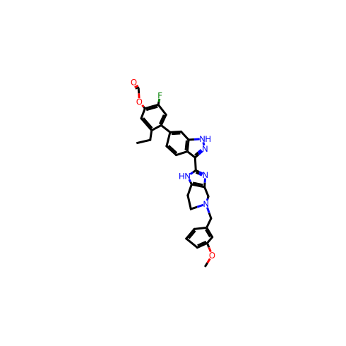 CCc1cc(OC=O)c(F)cc1-c1ccc2c(-c3nc4c([nH]3)CCN(Cc3cccc(OC)c3)C4)n[nH]c2c1